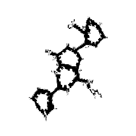 CNc1nc(-c2cccnc2)nc2c(F)cc(-c3ccccc3Cl)cc12